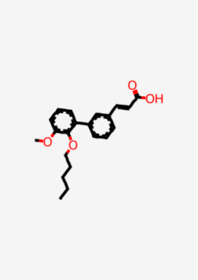 CCCCCOc1c(OC)cccc1-c1cccc(/C=C/C(=O)O)c1